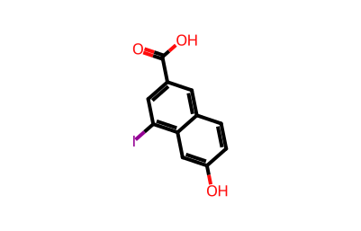 O=C(O)c1cc(I)c2cc(O)ccc2c1